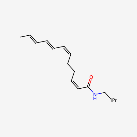 C/C=C/C=C/C=C\CC/C=C\C(=O)NCC(C)C